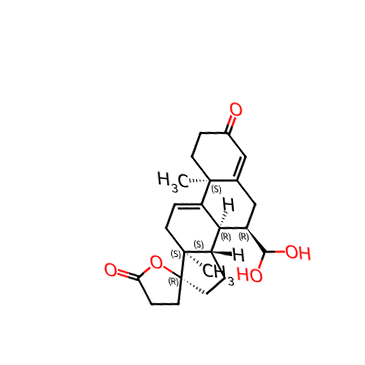 C[C@]12CCC(=O)C=C1C[C@@H](C(O)O)[C@@H]1C2=CC[C@@]2(C)[C@H]1CC[C@@]21CCC(=O)O1